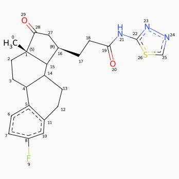 C[C@]12CCC3c4ccc(F)cc4CCC3C1[C@H](CCC(=O)Nc1nncs1)CC2=O